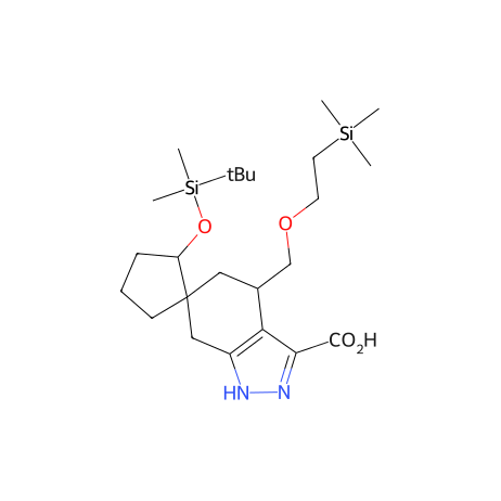 CC(C)(C)[Si](C)(C)OC1CCCC12Cc1[nH]nc(C(=O)O)c1C(COCC[Si](C)(C)C)C2